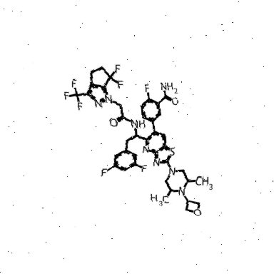 CC1CN(c2nc3nc(C(Cc4cc(F)cc(F)c4)NC(=O)Cn4nc(C(F)(F)F)c5c4C(F)(F)CC5)c(-c4ccc(F)c(C(N)=O)c4)cc3s2)CC(C)N1C1COC1